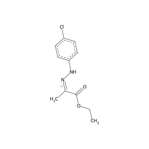 CCOC(=O)/C(C)=N\Nc1ccc(Cl)cc1